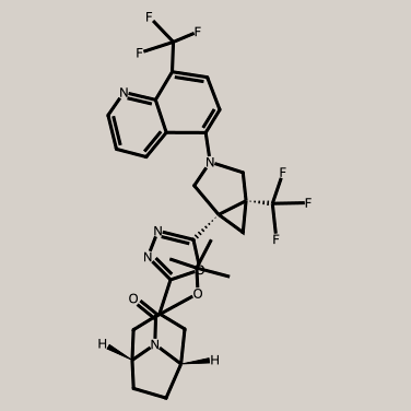 CC(C)(C)OC(=O)N1[C@@H]2CC[C@H]1CC(c1nnc([C@]34CN(c5ccc(C(F)(F)F)c6ncccc56)C[C@@]3(C(F)(F)F)C4)o1)C2